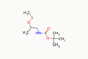 CSOC(C)CNC(=O)OC(C)(C)C